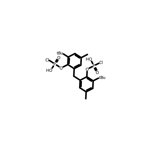 Cc1cc(Cc2cc(C)cc(C(C)(C)C)c2OP(=O)(O)Cl)c(OP(=O)(O)Cl)c(C(C)(C)C)c1